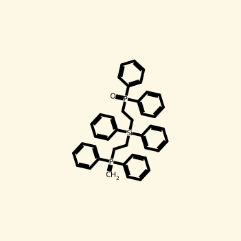 C=P(CC[Si](CCP(=O)(c1ccccc1)c1ccccc1)(c1ccccc1)c1ccccc1)(c1ccccc1)c1ccccc1